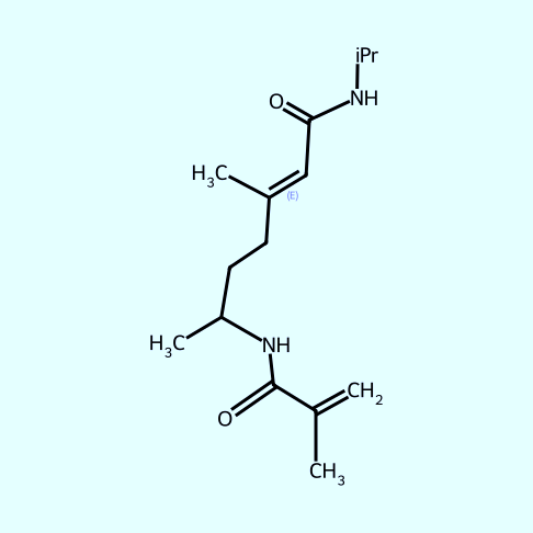 C=C(C)C(=O)NC(C)CC/C(C)=C/C(=O)NC(C)C